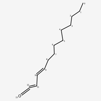 CCCCCCCCCC=CC=C=O